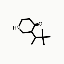 CC(C1CNCCC1=O)C(C)(C)C